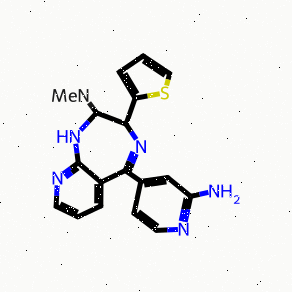 CNC1Nc2ncccc2C(c2ccnc(N)c2)=NC1c1cccs1